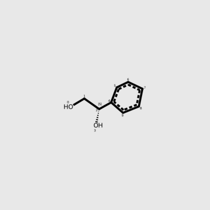 OC[C@@H](O)c1ccccc1